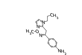 CCCn1ccnc1CC(=NOC)c1ccc(N)cc1